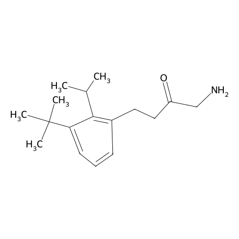 CC(C)c1c(CCC(=O)CN)cccc1C(C)(C)C